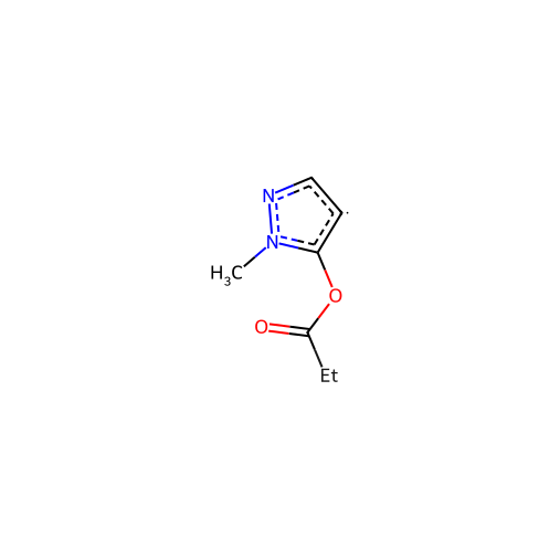 CCC(=O)Oc1[c]cnn1C